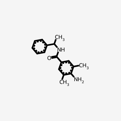 Cc1cc(C(=O)NC(C)c2ccccc2)cc(C)c1N